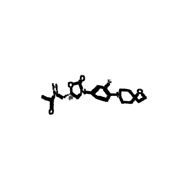 CC(=O)NC[C@H]1CN(c2ccc(N3CCC4(CCO4)CC3)c(F)c2)C(=O)O1